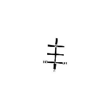 CC(C)([Si](C)(C)C)P(=O)(O)O